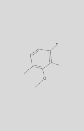 COc1c(C)ccc(F)c1C